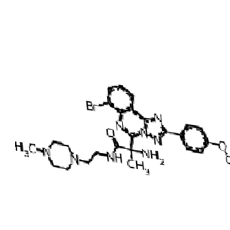 COc1ccc(-c2nc3c4cccc(Br)c4nc([C@](C)(N)C(=O)NCCN4CCN(C)CC4)n3n2)cc1